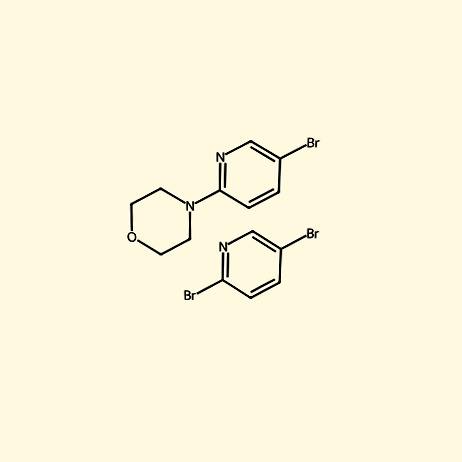 Brc1ccc(Br)nc1.Brc1ccc(N2CCOCC2)nc1